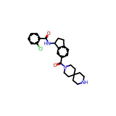 O=C(NC1CCc2ccc(C(=O)N3CCC4(CCNCC4)CC3)cc21)c1ccccc1Cl